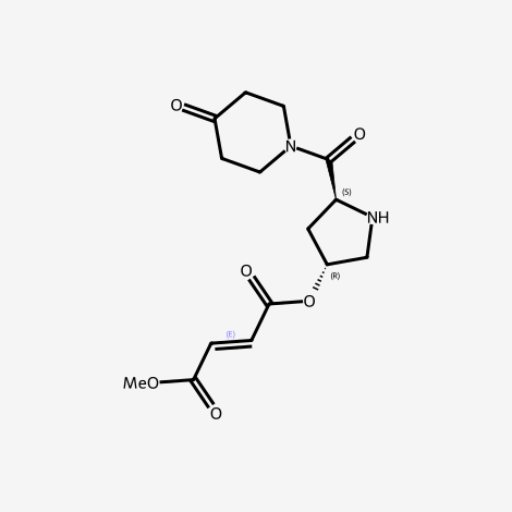 COC(=O)/C=C/C(=O)O[C@H]1CN[C@H](C(=O)N2CCC(=O)CC2)C1